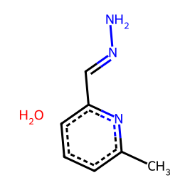 Cc1cccc(C=NN)n1.O